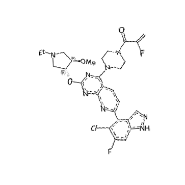 C=C(F)C(=O)N1CCN(c2nc(O[C@@H]3CN(CC)C[C@H]3OC)nc3nc(-c4c(Cl)c(F)cc5[nH]ncc45)ccc23)CC1